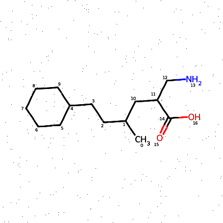 CC(CCC1CCCCC1)CC(CN)C(=O)O